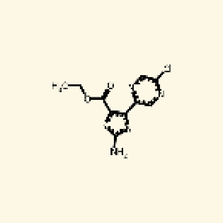 CCOC(=O)c1sc(N)nc1-c1cnc(Cl)cn1